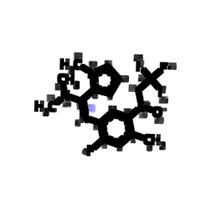 Cc1cc(F)c(/N=C(\c2cccn2C)N(C)C)cc1[S+]([O-])CC(F)(F)F